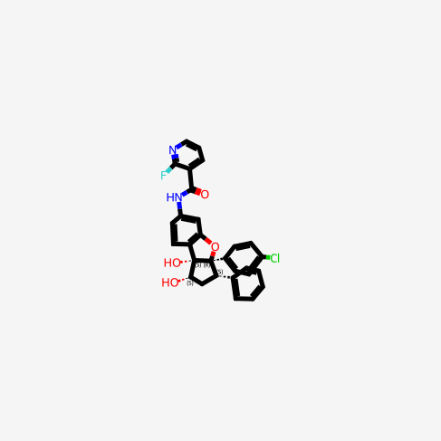 O=C(Nc1ccc2c(c1)O[C@@]1(c3ccc(Cl)cc3)[C@H](c3ccccc3)C[C@H](O)[C@@]21O)c1cccnc1F